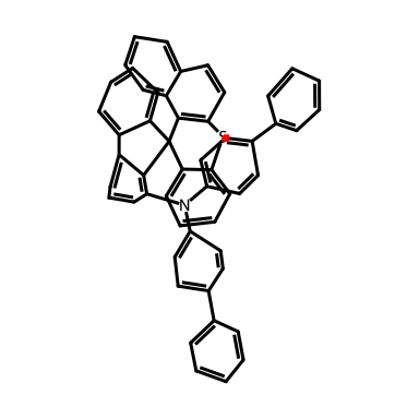 c1ccc(-c2ccc(N(c3ccc(-c4ccccc4)cc3)c3cccc4c3C3(c5ccccc5Sc5ccc6ccccc6c53)c3ccccc3-4)cc2)cc1